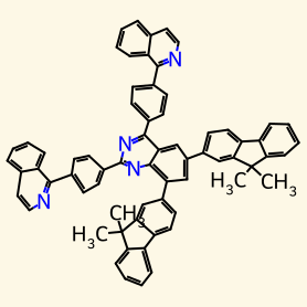 CC1(C)c2ccccc2-c2ccc(-c3cc(-c4ccc5c(c4)C(C)(C)c4ccccc4-5)c4nc(-c5ccc(-c6nccc7ccccc67)cc5)nc(-c5ccc(-c6nccc7ccccc67)cc5)c4c3)cc21